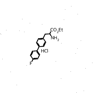 CCOC(=O)C(N)Cc1ccc(-c2ccc(F)cc2)cc1.Cl